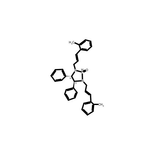 Cc1ccccc1C=CCN1[C@@H](c2ccccc2)[C@H](c2ccccc2)N(CC=Cc2ccccc2C)[PH]1=O